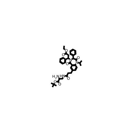 CCOC(=O)CC(c1ccccc1)N1C(=O)c2cc(CCC(=O)NCC(N)C(=O)OC(C)(C)C)ccc2N(C(C)C)C(=O)C1c1ccccc1